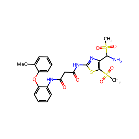 COc1ccccc1Oc1ccccc1NC(=O)CC(=O)Nc1nc(C(N)S(C)(=O)=O)c(S(C)(=O)=O)s1